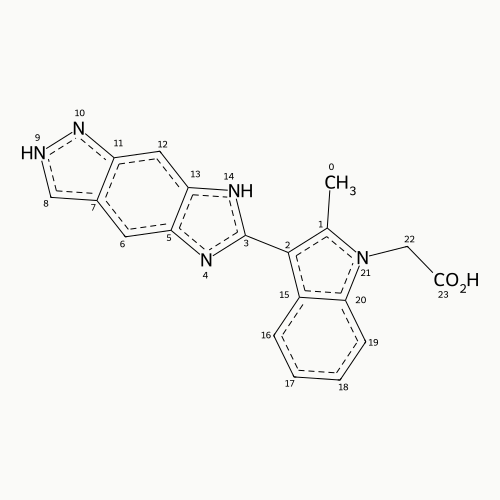 Cc1c(-c2nc3cc4c[nH]nc4cc3[nH]2)c2ccccc2n1CC(=O)O